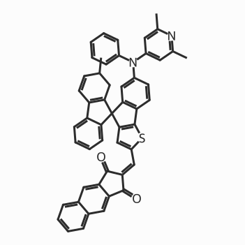 Cc1cc(N(c2ccccc2)c2ccc3c(c2)C2(C4=C(C=CC(C)C4)c4ccccc42)c2cc(C=C4C(=O)c5cc6ccccc6cc5C4=O)sc2-3)cc(C)n1